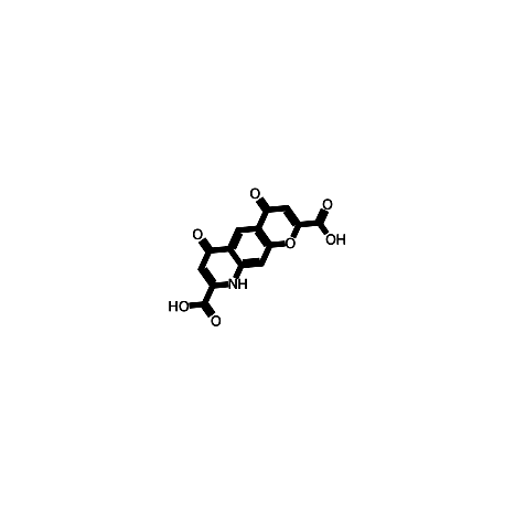 O=C(O)c1cc(=O)c2cc3c(=O)cc(C(=O)O)oc3cc2[nH]1